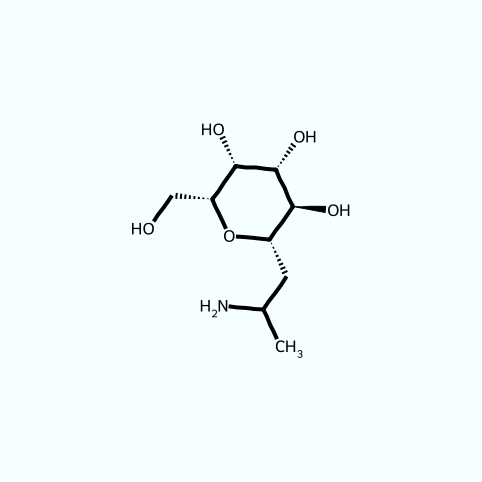 CC(N)C[C@@H]1O[C@H](CO)[C@H](O)[C@H](O)[C@H]1O